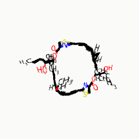 C/C=C/[C@H](O)C(C)(C)[C@@H]1C/C=C\[C@@H]2C/C(=C\C=C/c3nc(cs3)C(=O)O[C@H](C(C)(C)[C@H](C)O)C/C=C\[C@H]3C[C@H]3/C=C/C=C\c3nc(cs3)C(=O)O1)[C@@H]2C